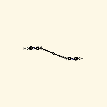 Oc1ccc(/C=C/c2cc[n+](CCCCCCCCCCCSSCCCCCCCCCCC[n+]3ccc(/C=C/c4ccc(O)cc4)cc3)cc2)cc1